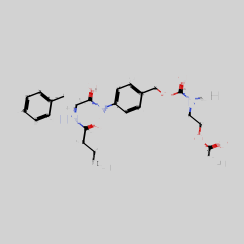 CN(CCOC(=O)C(C)(C)C)C(=O)OCc1ccc(NC(=O)[C@@H](Cc2ccccc2)NC(=O)CCC(C)(C)C)cc1